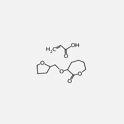 C=CC(=O)O.O=C1OCCCCC1OCC1CCCO1